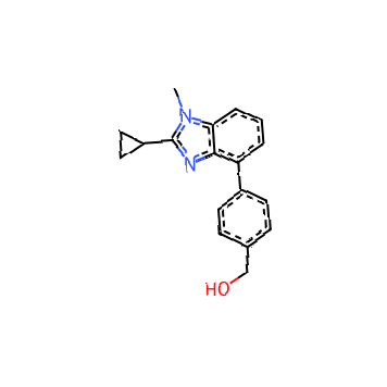 Cn1c(C2CC2)nc2c(-c3ccc(CO)cc3)cccc21